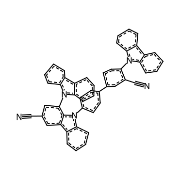 N#Cc1cc(-n2c3ccccc3c3ccccc32)c2c(c1)c1ccccc1n2-c1ccc(-c2ccc(-n3c4ccccc4c4ccccc43)c(C#N)c2)cc1